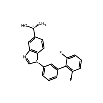 C[C@H](O)c1ccc2c(c1)ncn2-c1cccc(-c2c(F)cccc2F)c1